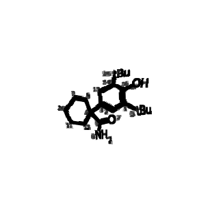 CC(C)(C)c1cc(C2(C(N)=O)CCCCC2)cc(C(C)(C)C)c1O